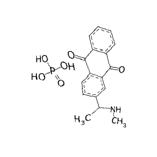 CNC(C)c1ccc2c(c1)C(=O)c1ccccc1C2=O.O=P(O)(O)O